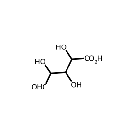 O=CC(O)C(O)C(O)C(=O)O